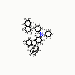 c1ccc(N(c2cccc(-c3cccc4ccccc34)c2)c2ccc3c(c2)-c2ccccc2C32C3CC4CC(C3)CC2C4)cc1